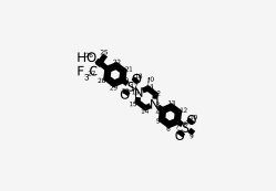 C[C@@H]1CN(c2ccc(S(C)(=O)=O)cc2)CCN1S(=O)(=O)c1ccc(C(C)(O)C(F)(F)F)cc1